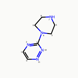 c1cnc(N2CCNCC2)nn1